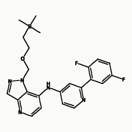 C[Si](C)(C)CCOCn1ncc2nccc(Nc3ccnc(-c4cc(F)ccc4F)c3)c21